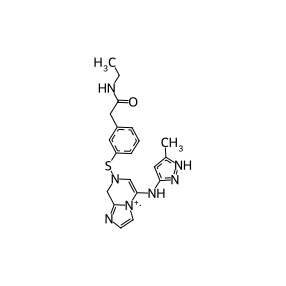 CCNC(=O)Cc1cccc(SN2C=C(Nc3cc(C)[nH]n3)[N+]3C=CN=C3C2)c1